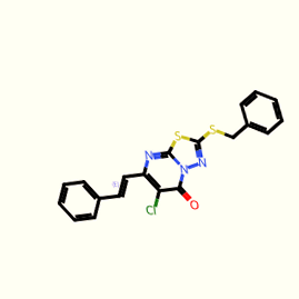 O=c1c(Cl)c(/C=C/c2ccccc2)nc2sc(SCc3ccccc3)nn12